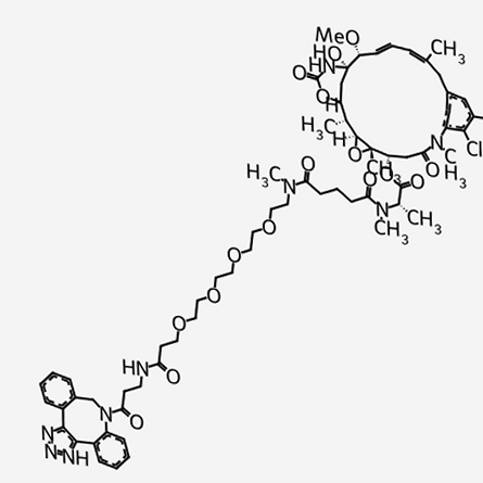 CO[C@@H]1/C=C/C=C(/C)Cc2cc(CO)c(Cl)c(c2)N(C)C(=O)C[C@H](OC(=O)[C@H](C)N(C)C(=O)CCCC(=O)N(C)CCOCCOCCOCCOCCC(=O)NCCC(=O)N2Cc3ccccc3-c3nn[nH]c3-c3ccccc32)[C@]2(C)O[C@H]2[C@H](C)[C@@H]2C[C@@]1(O)NC(=O)O2